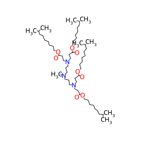 CC(C)CCCCCCCOC(=O)CCN(CCCN(C)CCCN(CCC(=O)OCCCCCCCC(C)C)CCC(=O)OCCCCCCCC(C)C)CCC(=O)OCCCCCCCC(C)C